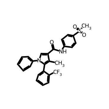 Cc1c(C(=O)Nc2ccc(S(C)(=O)=O)cc2)cn(-c2ccccc2)c1-c1ccccc1C(F)(F)F